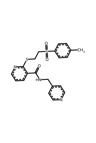 Cc1ccc(S(=O)(=O)CCSc2ncccc2C(=O)NCc2ccncc2)cc1